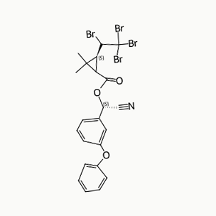 CC1(C)C(C(=O)O[C@H](C#N)c2cccc(Oc3ccccc3)c2)[C@@H]1C(Br)C(Br)(Br)Br